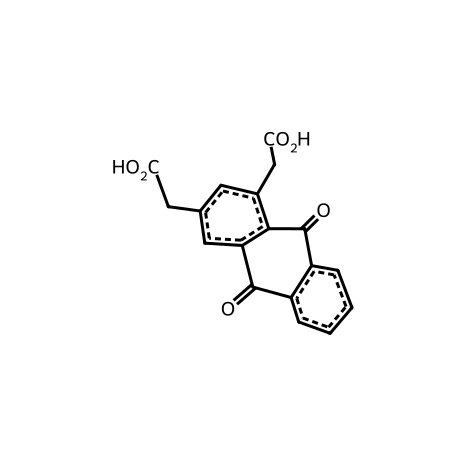 O=C(O)Cc1cc(CC(=O)O)c2c(c1)C(=O)c1ccccc1C2=O